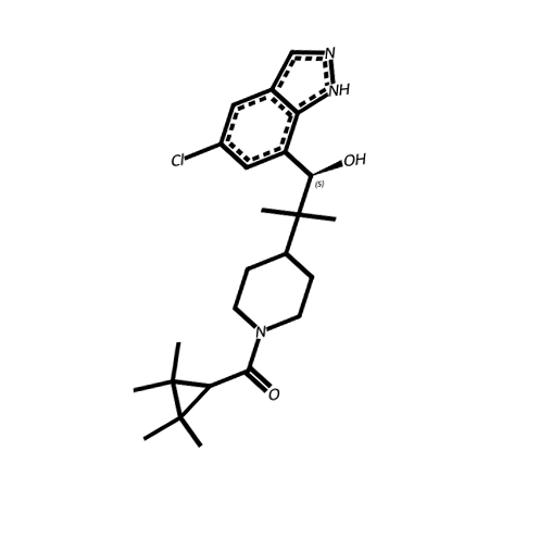 CC(C)(C1CCN(C(=O)C2C(C)(C)C2(C)C)CC1)[C@H](O)c1cc(Cl)cc2cn[nH]c12